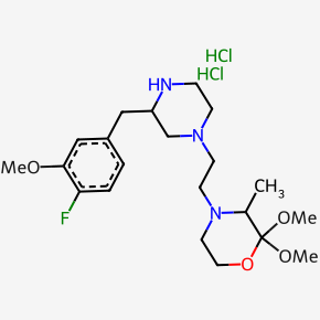 COc1cc(CC2CN(CCN3CCOC(OC)(OC)C3C)CCN2)ccc1F.Cl.Cl